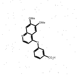 COc1cc2nccc(Oc3cccc(C(=O)O)c3)c2cc1OC